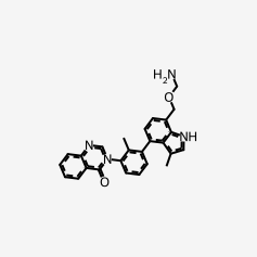 Cc1c(-c2ccc(COCN)c3[nH]cc(C)c23)cccc1-n1cnc2ccccc2c1=O